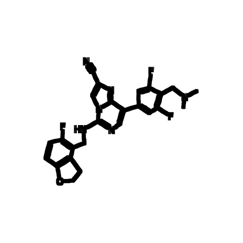 CN(C)Cc1c(F)cc(-c2cnc(NCc3c(F)ccc4c3CCO4)n3cc(C#N)nc23)cc1F